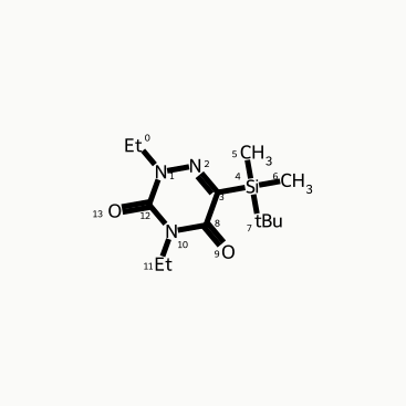 CCn1nc([Si](C)(C)C(C)(C)C)c(=O)n(CC)c1=O